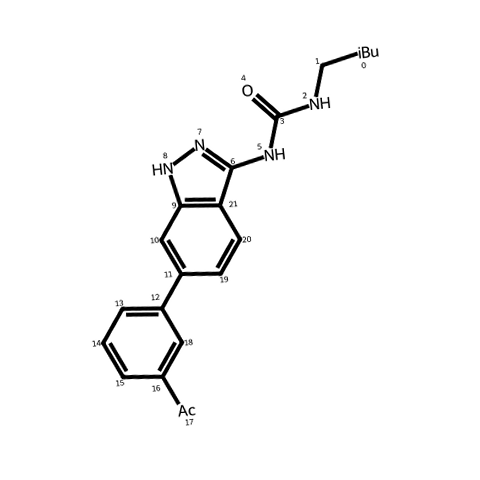 CCC(C)CNC(=O)Nc1n[nH]c2cc(-c3cccc(C(C)=O)c3)ccc12